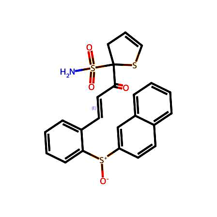 NS(=O)(=O)C1(C(=O)/C=C/c2ccccc2[S+]([O-])c2ccc3ccccc3c2)CC=CS1